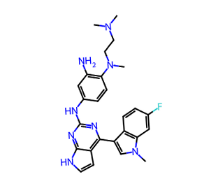 CN(C)CCN(C)c1ccc(Nc2nc(-c3cn(C)c4cc(F)ccc34)c3cc[nH]c3n2)cc1N